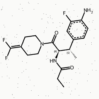 CCC(=O)N[C@@H](C(=O)N1CCC(=C(F)F)CC1)[C@@H](C)c1ccc(N)c(F)c1